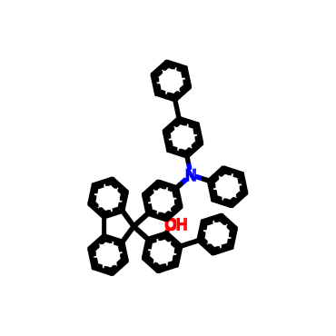 Oc1c(-c2ccccc2)cccc1C1(c2ccc(N(c3ccccc3)c3ccc(-c4ccccc4)cc3)cc2)c2ccccc2-c2ccccc21